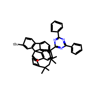 CC(C)(C)c1ccc2c(c1)C13c4cc(-c5nc(-c6ccccc6)nc(-c6ccccc6)n5)ccc4-c4ccc(cc41)C(C)(C)CC(C)(C)c1ccc-2c3c1